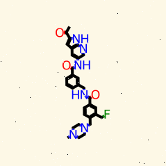 CC(=O)c1cc2cc(NC(=O)c3cccc(CNC(=O)c4ccc(CN5CCN(C)CC5)c(CF)c4)c3)cnc2[nH]1